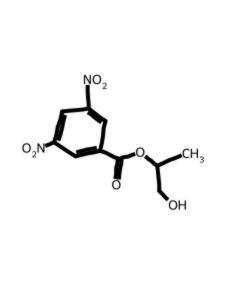 CC(CO)OC(=O)c1cc([N+](=O)[O-])cc([N+](=O)[O-])c1